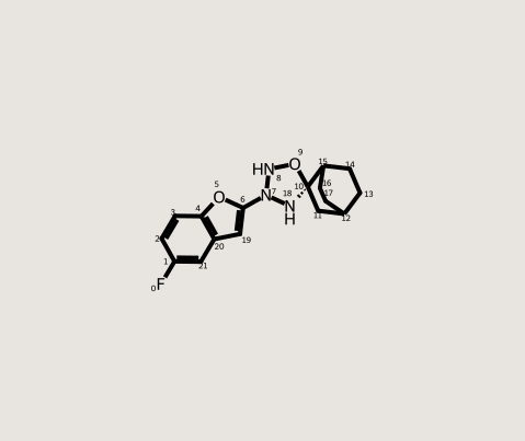 Fc1ccc2oc(N3NO[C@@]4(CC5CCC4CC5)N3)cc2c1